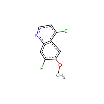 COc1cc2c(Cl)ccnc2cc1F